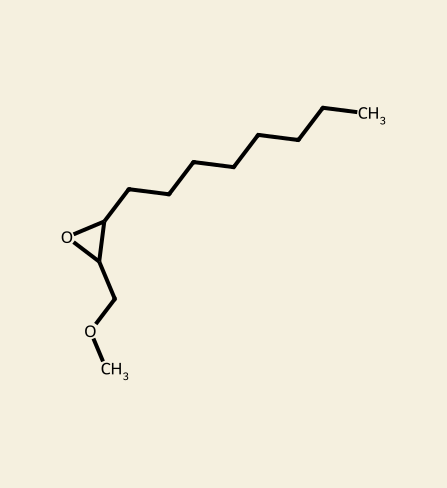 CCCCCCCCC1OC1COC